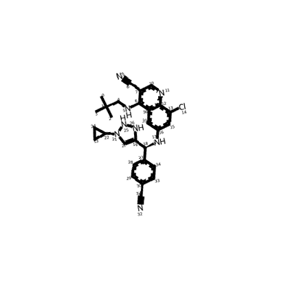 CC(C)(C)CNc1c(C#N)cnc2c(Cl)cc(N[C@H](C3=CN(C4CC4)NN3)c3ccc(C#N)cc3)cc12